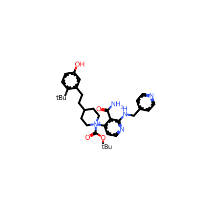 CC(C)(C)OC(=O)[N+]1(c2ccnc(NCc3ccncc3)c2C(N)=O)CCC(CCc2cc(O)ccc2C(C)(C)C)CC1